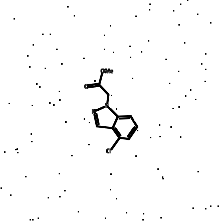 COC(=O)Cn1ncc2c(Cl)cccc21